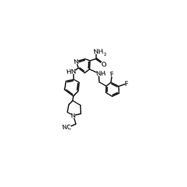 N#CCN1CCC(c2ccc(Nc3cc(NCc4cccc(F)c4F)c(C(N)=O)cn3)cc2)CC1